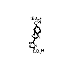 CC(C)(C)[Si](C)(C)Oc1ccc2nc(C3=NC(C(=O)O)CS3)sc2c1